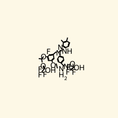 CCOc1cc(CN(c2ccc(C(=N)N)cc2)c2nc3c(C)c(C)ccc3[nH]2)c(F)c(OC(C)C)c1.O=C(O)C(F)(F)F.O=C(O)C(F)(F)F